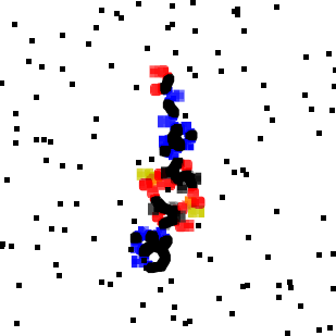 O=C(CO)NCCNc1ncnc2c1ncn2[C@@H]1O[C@@H]2COP(=O)(S)O[C@H]3[C@@H](O)[C@H](n4cc5c6c(ncnc64)NCCC5)O[C@@H]3COP(=O)(S)O[C@@H]1[C@@H]2O